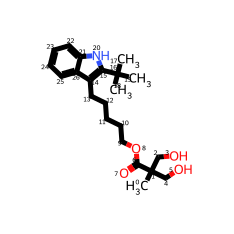 CC(CO)(CO)C(=O)OCCCCCc1c(C(C)(C)C)[nH]c2ccccc12